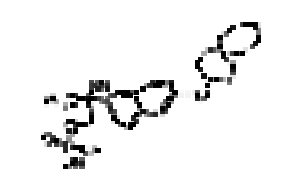 CC(N)(COP(=O)(O)O)c1ccc2cc(OC3CCC4(CCCCC4)CC3)ccc2c1